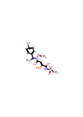 CON(C(=O)C=C(O)C(=O)NS(C)(=O)=O)C(C)c1ccc(F)cc1